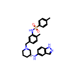 Cc1ccc(S(=O)(=O)Nc2cc(CN3CCC[C@@H](Nc4ccc5[nH]ncc5c4)C3)ccc2C)cc1